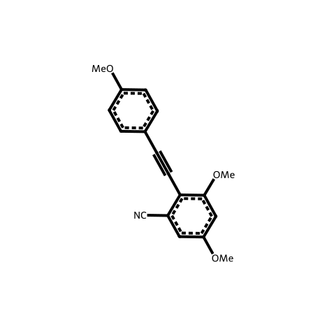 COc1ccc(C#Cc2c(C#N)cc(OC)cc2OC)cc1